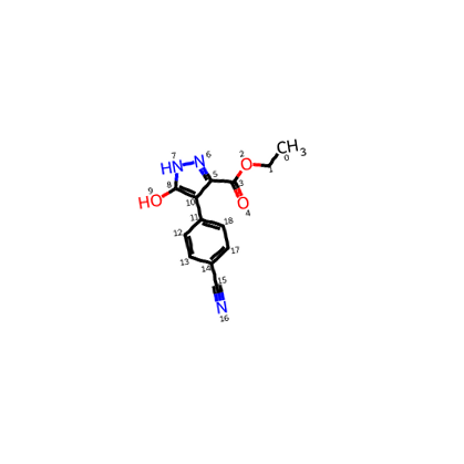 CCOC(=O)c1n[nH]c(O)c1-c1ccc(C#N)cc1